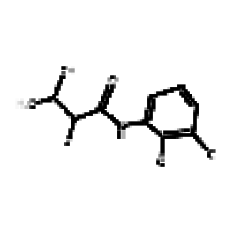 CC(C)C(Br)C(=O)Nc1cccc(Cl)c1O